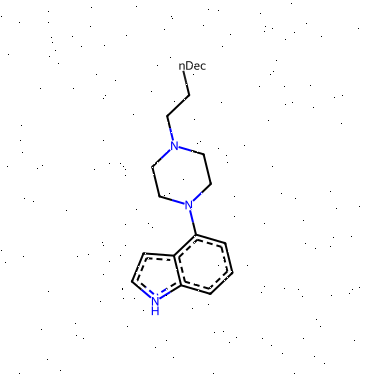 CCCCCCCCCCCCN1CCN(c2cccc3[nH]ccc23)CC1